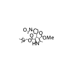 COC(=O)C1=C(C)NC(C)=C(C(=O)OCC[Si](C)(C)C)C1c1cccc([N+](=O)[O-])c1